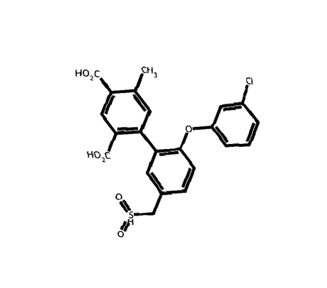 Cc1cc(-c2cc(C[SH](=O)=O)ccc2Oc2cccc(Cl)c2)c(C(=O)O)cc1C(=O)O